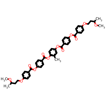 COC(C)CCOc1ccc(C(=O)Oc2ccc(C(=O)Oc3ccc(OC(=O)c4ccc(OC(=O)c5ccc(OCCC(C)OC)cc5)cc4)c(C)c3)cc2)cc1